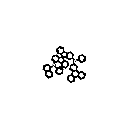 C1=CC2C3=C(CC(N(C4CC=CCC4)C4CC=C5C6=C(CCCC6)C6CCC=CC6C5C4)CC3)C3(C4=C(CCCC4)C4C(N(C5=CCCC=C5)C5CC=CC6=C5CCC=C6)=CCCC43)C2C=C1